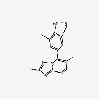 Cc1nc2ccc(C)c(-c3cc(C)c4[nH]ncc4c3)n2n1